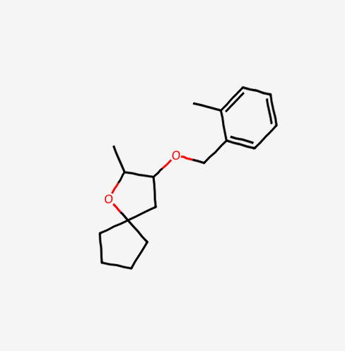 Cc1ccccc1COC1CC2(CCCC2)OC1C